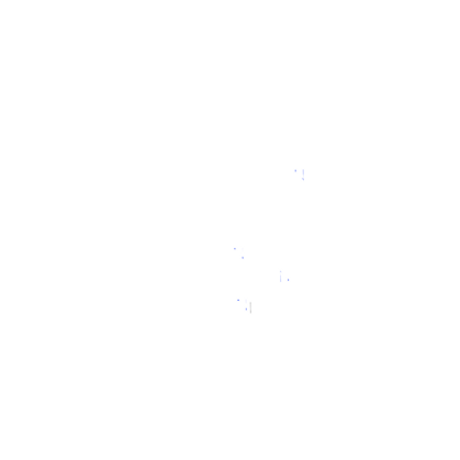 CC12C=CC=CC1c1ccc3c(c1N2C1=NC(c2ccc4ccccc4c2)CC(c2ccc4ccccc4c2)=N1)c1ccccc1n3-c1ccc2ccccc2c1